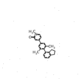 Cc1cc(-c2ccn(C)c(=O)c2)cc(C)c1-c1cccc2c1CCC2